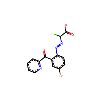 O=C(c1ccccn1)c1cc(Br)ccc1N=NC(Cl)C(=O)O